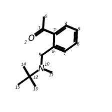 CC(=O)c1ccccc1CN(C)C(C)(C)C